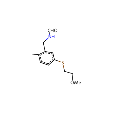 COCCSc1ccc(C)c(CNC=O)c1